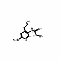 COc1cc(CCO)c(NC(=O)OC(C)(C)C)cn1